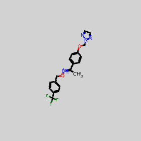 C/C(=N\OCc1ccc(C(F)(F)F)cc1)c1ccc(OCn2nccn2)cc1